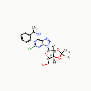 CC(Nc1nc(Cl)nc2c1ncn2[C@@H]1O[C@H](CO)[C@H]2OC(C)(C)O[C@H]21)c1ccccc1